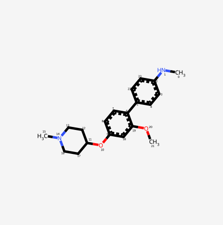 CNc1ccc(-c2ccc(OC3CCN(C)CC3)cc2OC)cc1